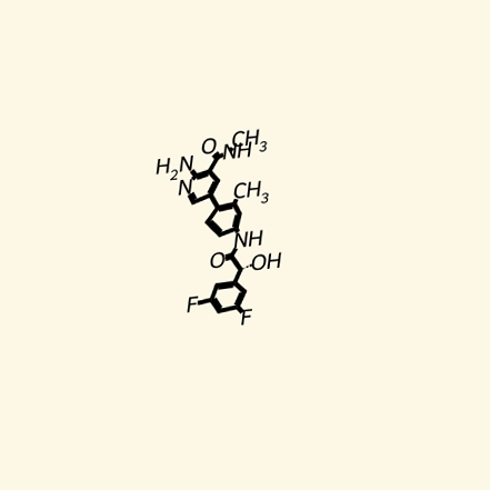 CNC(=O)c1cc(-c2ccc(NC(=O)[C@H](O)c3cc(F)cc(F)c3)cc2C)cnc1N